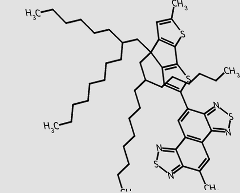 CCCCCCCCC(CCCCCC)CC1(CC(CCCCCC)CCCCCCCC)c2cc(C)sc2-c2sc(-c3cc4c(cc(C)c5nsnc54)c4nsnc34)cc21